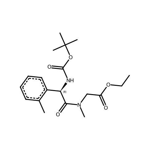 CCOC(=O)CN(C)C(=O)[C@H](NC(=O)OC(C)(C)C)c1ccccc1C